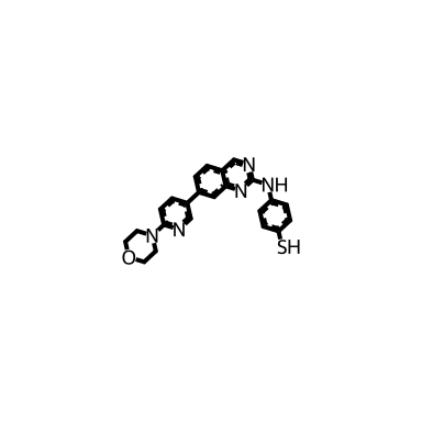 Sc1ccc(Nc2ncc3ccc(-c4ccc(N5CCOCC5)nc4)cc3n2)cc1